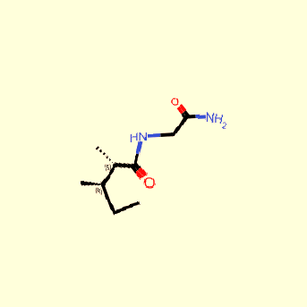 CC[C@@H](C)[C@H](C)C(=O)NCC(N)=O